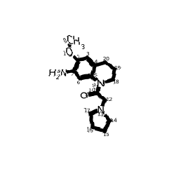 COc1cc2c(cc1N)N(C(=O)CN1CCCC1)CCC2